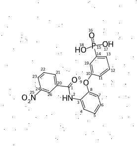 O=C(Nc1ccccc1Oc1cccc(P(=O)(O)O)c1)c1cccc([N+](=O)[O-])c1